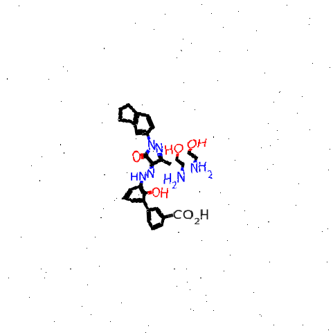 CC1=NN(c2ccc3c(c2)CCC3)C(=O)/C1=N\Nc1cccc(-c2cccc(C(=O)O)c2)c1O.NCCO.NCCO